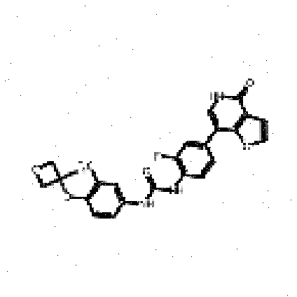 CC1(Oc2ccc(NC(=O)Nc3ccc(-c4c[nH]c(=O)c5ccoc45)cc3F)cc2C(F)(F)F)COC1